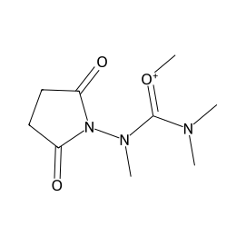 C[O+]=C(N(C)C)N(C)N1C(=O)CCC1=O